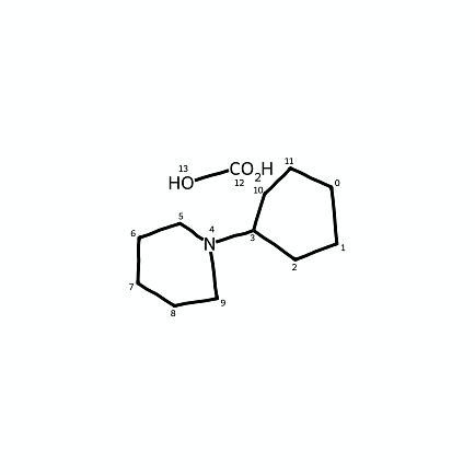 C1CCC(N2CCCCC2)CC1.O=C(O)O